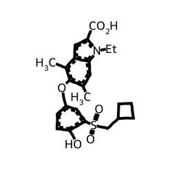 CCn1c(C(=O)O)cc2c(C)c(Oc3ccc(O)c(S(=O)(=O)CC4CCC4)c3)c(C)cc21